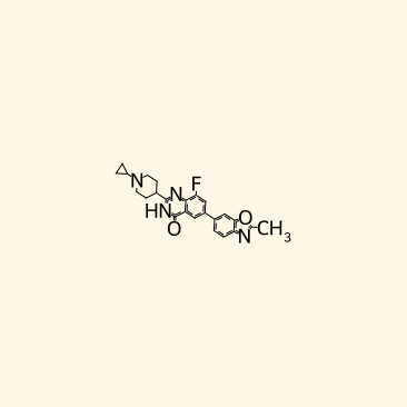 Cc1nc2ccc(-c3cc(F)c4nc(C5CCN(C6CC6)CC5)[nH]c(=O)c4c3)cc2o1